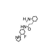 Nc1ccccc1CCC(=O)Nc1ccc(-n2cccn2)c(F)c1